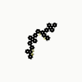 c1ccc(-c2c3ccccc3c(-c3ccc(-c4cc5c6cccc(-c7ccc(-c8c9ccccc9c(-c9cccc(-c%10ccc%11sc%12c%13sc%14ccccc%14c%13c%13ccccc%13c%12c%11c%10)c9)c9ccccc89)cc7)c6sc5c5cc6sc7ccccc7c6cc45)cc3)c3ccccc23)cc1